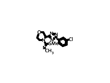 C/N=C(\SC)N1CCOCC1c1nnn(-c2cccc(Cl)c2)n1